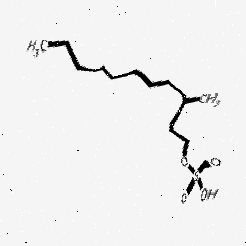 CCCCCCCCC(C)CCOS(=O)(=O)O